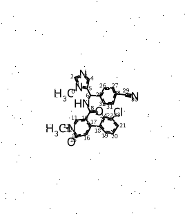 Cn1cncc1C(NC(=O)c1cn(C)c(=O)cc1-c1cccc(Cl)c1)c1ccc(C#N)cc1